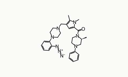 Cc1c(CN2CCN(c3ccccc3N=[N+]=[N-])CC2)cc(C(=O)N2CCN(c3ccccc3)C[C@@H]2C)n1C